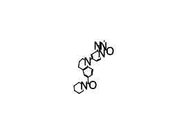 Cn1nc2cc(N3CCCc4cc(C(=O)N5CCCCC5)ccc43)ccn2c1=O